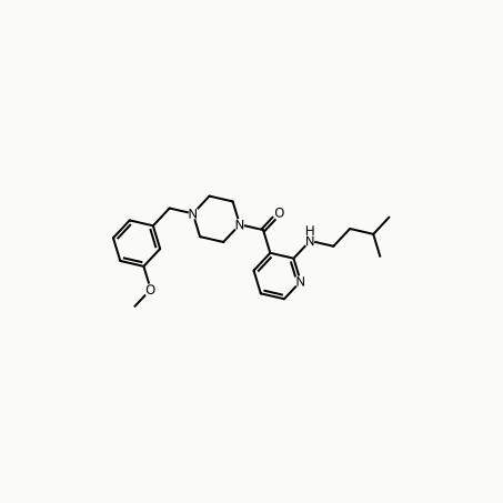 COc1cccc(CN2CCN(C(=O)c3cccnc3NCCC(C)C)CC2)c1